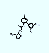 Cc1cc(Cl)cc(-c2cc(F)ccc2NC(=O)OC[C@@H]2CCCN2C)c1